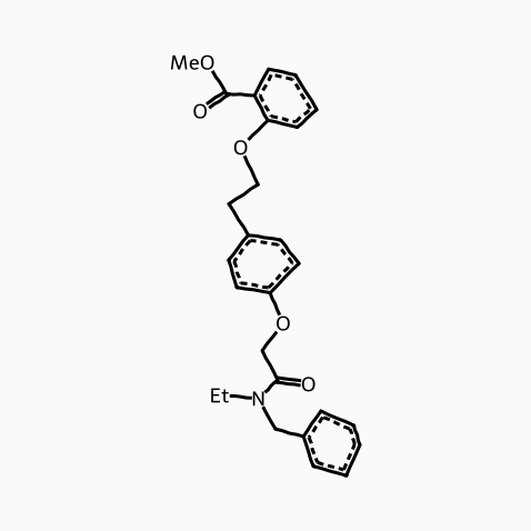 CCN(Cc1ccccc1)C(=O)COc1ccc(CCOc2ccccc2C(=O)OC)cc1